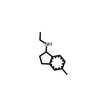 CCNC1CCc2cc(C)ccc21